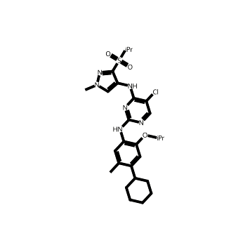 Cc1cc(Nc2ncc(Cl)c(Nc3cn(C)nc3S(=O)(=O)C(C)C)n2)c(OC(C)C)cc1C1CCCCC1